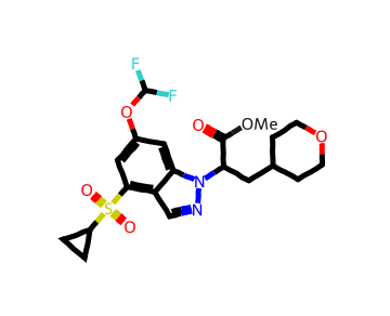 COC(=O)C(CC1CCOCC1)n1ncc2c(S(=O)(=O)C3CC3)cc(OC(F)F)cc21